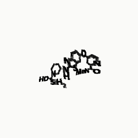 CNC(=O)c1cc(Oc2ccc3nc(N[C@H]4CCCN(C(O)=[SiH2])C4)sc3c2)ccn1